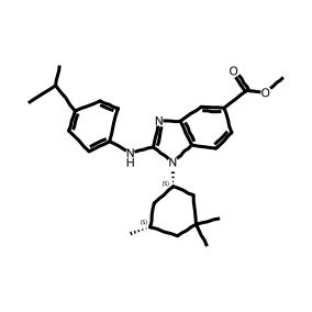 COC(=O)c1ccc2c(c1)nc(Nc1ccc(C(C)C)cc1)n2[C@H]1C[C@@H](C)CC(C)(C)C1